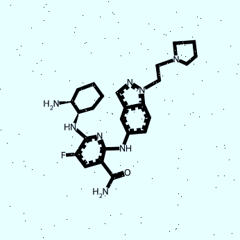 NC(=O)c1cc(F)c(N[C@@H]2CCCC[C@@H]2N)nc1Nc1ccc2c(cnn2CCN2CCCC2)c1